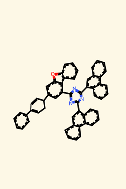 C1=CC(c2cc(-c3nc(-c4cc5ccccc5c5ccccc45)nc(-c4cc5ccccc5c5ccccc45)n3)c3c(c2)oc2ccccc23)CC=C1c1ccccc1